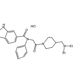 CCN(CC)CC1CCN(C(=O)CN(C(=O)c2ccc3cc[nH]c3c2)c2ccccc2)CC1.Cl